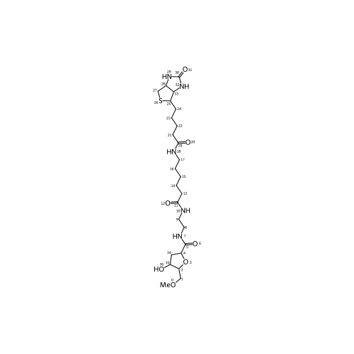 COCC1OC(C(=O)NCCNC(=O)CCCCCNC(=O)CCCCC2SCC3NC(=O)NC32)CC1O